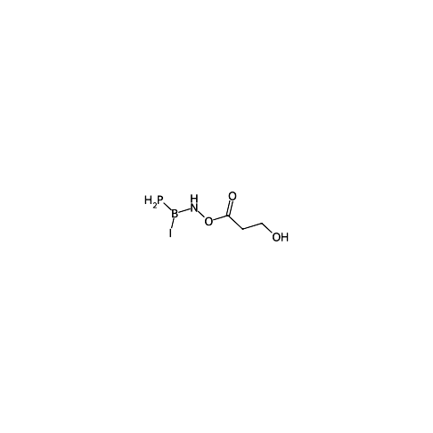 O=C(CCO)ONB(P)I